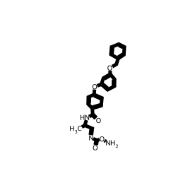 CC(C=NC(=O)ON)NC(=O)c1ccc(Oc2cccc(OCc3ccccc3)c2)cc1